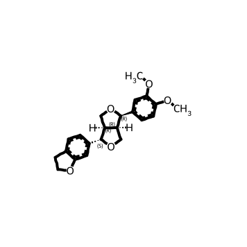 COc1ccc([C@@H]2OC[C@H]3[C@@H]2CO[C@@H]3c2ccc3c(c2)OCC3)cc1OC